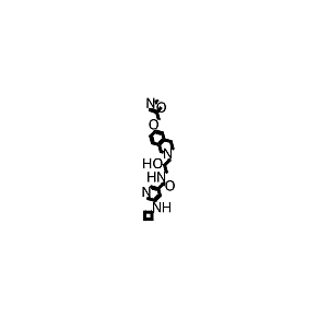 O=C(NC[C@H](O)CN1CCc2cc(OCc3cnco3)ccc2C1)c1cncc(NC2CCC2)c1